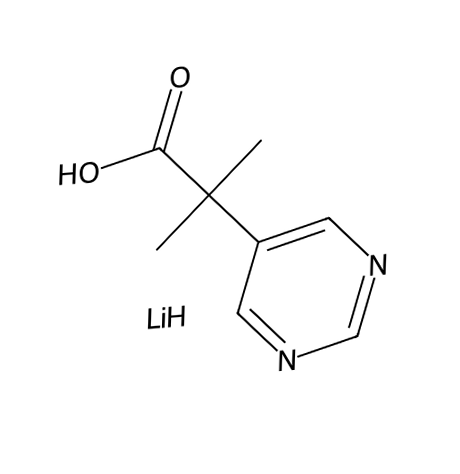 CC(C)(C(=O)O)c1cncnc1.[LiH]